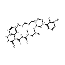 Cc1c(Cl)cccc1N1CCN(CCCCOc2ccc3c(c2)N(C(C)OC(=O)N(C)CC(C)C)C(=O)CC3)CC1